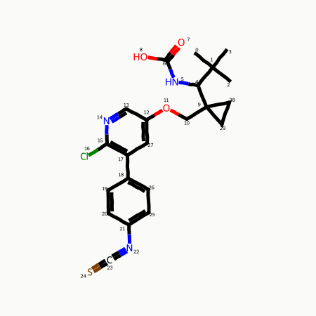 CC(C)(C)C(NC(=O)O)C1(COc2cnc(Cl)c(-c3ccc(N=C=S)cc3)c2)CC1